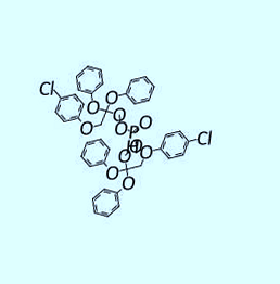 O=[PH](OOC(COc1ccc(Cl)cc1)(Oc1ccccc1)Oc1ccccc1)OOC(COc1ccc(Cl)cc1)(Oc1ccccc1)Oc1ccccc1